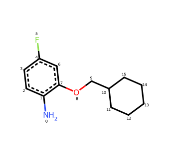 Nc1ccc(F)cc1OCC1CCCCC1